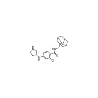 O=C(NCC12CC3CC(CC(C3)C1)C2)c1ccc(NC2CCNC2)cc1Cl